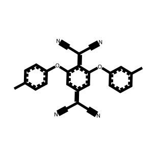 Cc1ccc(Oc2cc(=C(C#N)C#N)cc(Oc3cccc(C)c3)c2=C(C#N)C#N)cc1